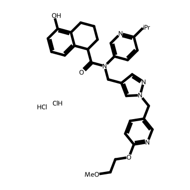 COCCOc1ccc(Cn2cc(CN(C(=O)C3CCCc4c(O)cccc43)c3ccc(C(C)C)nc3)cn2)cn1.Cl.Cl